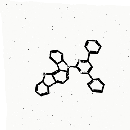 C1=CC2Nc3c(ccc4c3c3ccccc3n4-c3nc(-c4ccccc4)cc(-c4ccccc4)n3)C2C=C1